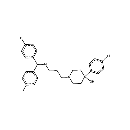 OC1(c2ccc(Cl)cc2)CCN(CCCNC(c2ccc(F)cc2)c2ccc(F)cc2)CC1